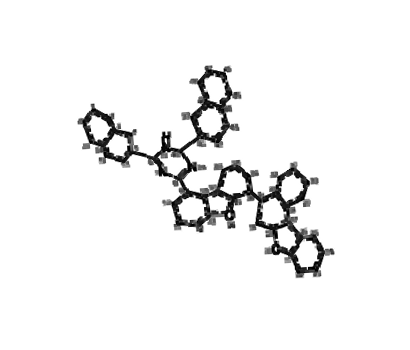 c1ccc2cc(C3=NC(c4cccc5oc6c(-c7cc8oc9ccccc9c8c8ccccc78)cccc6c45)=NC(c4ccc5ccccc5c4)N3)ccc2c1